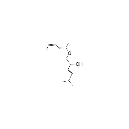 C/C=C\C=C(/C)OCC(O)/C=C/C(C)C